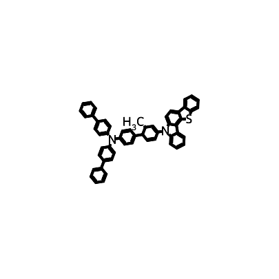 CC1C=C(n2c3ccccc3c3c4sc5ccccc5c4ccc32)C=CC1c1ccc(N(c2ccc(-c3ccccc3)cc2)c2ccc(-c3ccccc3)cc2)cc1